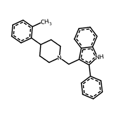 Cc1ccccc1C1CCN(Cc2c(-c3ccccc3)[nH]c3ccccc23)CC1